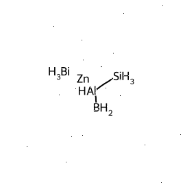 [BH2][AlH][SiH3].[BiH3].[Zn]